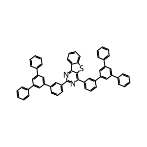 c1ccc(-c2cc(-c3ccccc3)cc(-c3cccc(-c4nc(-c5cccc(-c6cc(-c7ccccc7)cc(-c7ccccc7)c6)c5)c5sc6ccccc6c5n4)c3)c2)cc1